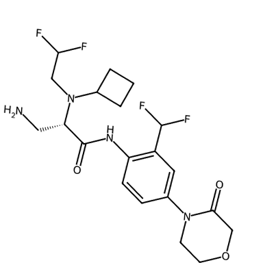 NC[C@@H](C(=O)Nc1ccc(N2CCOCC2=O)cc1C(F)F)N(CC(F)F)C1CCC1